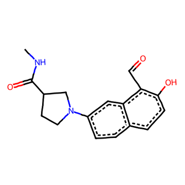 CNC(=O)C1CCN(c2ccc3ccc(O)c(C=O)c3c2)C1